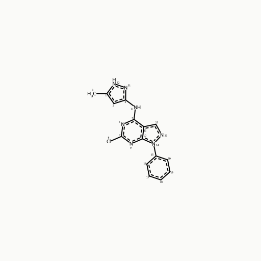 Cc1cc(Nc2nc(Cl)nc3c2cnn3-c2ccccc2)n[nH]1